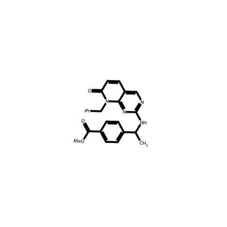 COC(=O)c1ccc(C(C)Nc2ncc3ccc(=O)n(CC(C)C)c3n2)cc1